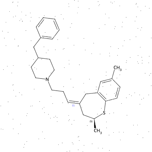 Cc1ccc2c(c1)C/C(=C\CCN1CCC(Cc3ccccc3)CC1)C[C@H](C)S2